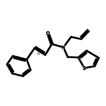 C=CCN(Cc1cccs1)C(=O)/C=C/c1ccccc1